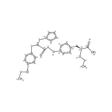 CCOc1ccc(CN(Cc2cccs2)C(=O)COc2ccc(C[C@H](OCC)C(=O)O)cc2)cc1